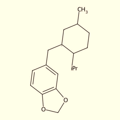 CC1CCC(C(C)C)[C](Cc2ccc3c(c2)OCO3)C1